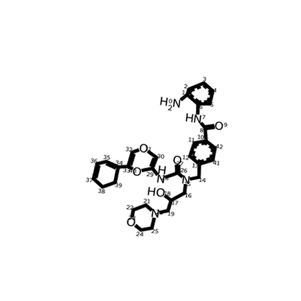 Nc1ccccc1NC(=O)c1ccc(CN(CC(O)CN2CCOCC2)C(=O)NC2=COC=C(C3=CC=CCC3)O2)cc1